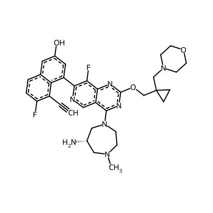 C#Cc1c(F)ccc2cc(O)cc(-c3ncc4c(N5CCN(C)C[C@H](N)C5)nc(OCC5(CN6CCOCC6)CC5)nc4c3F)c12